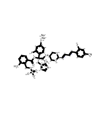 Cc1cccc(C(=O)O[C@@](Cn2cncn2)(c2ccc(F)cc2F)[C@@H](C)S[C@H]2CO[C@H](/C=C/C=C/c3ccc(C#N)cc3F)OC2)c1COP(=O)([O-])[O-].[Na+].[Na+]